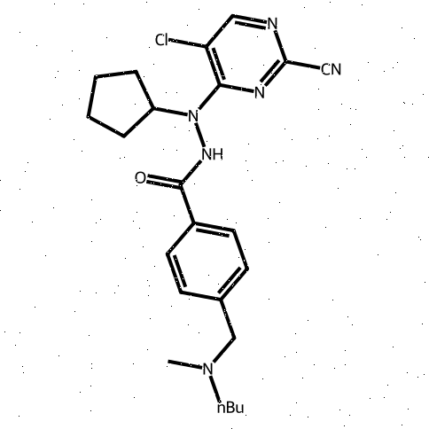 CCCCN(C)Cc1ccc(C(=O)NN(c2nc(C#N)ncc2Cl)C2CCCC2)cc1